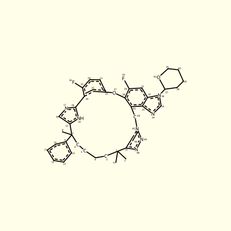 CC1(C)CCCCC(C)(c2ccccc2)c2cnc([nH]2)-c2cc(ccc2F)Oc2c(F)cc3c(ncn3C3CCCCO3)c2Cn2cc1nn2